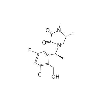 C[C@@H]1CN([C@@H](C)c2cc(F)cc(Cl)c2CO)C(=O)C(=O)N1C